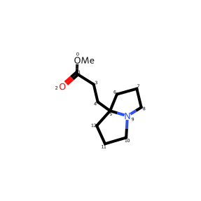 COC(=O)CCC12CCCN1CCC2